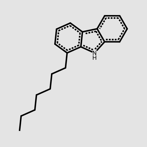 CCCCCCCc1cccc2c1[nH]c1ccccc12